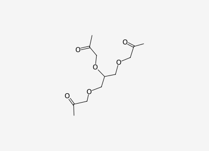 CC(=O)COCC(COCC(C)=O)OCC(C)=O